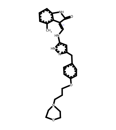 Cc1cccc2c1/C(=C\Nc1cc(Cc3ccc(OCCCN4CCOCC4)cc3)n[nH]1)C(=O)N2